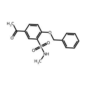 CNS(=O)(=O)c1cc(C(C)=O)ccc1OCc1ccccc1